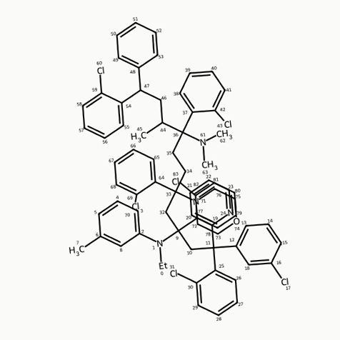 CCN(c1cccc(C)c1)C(CC(c1cc[c]c(Cl)c1)(c1ccccn1)c1ccccc1Cl)(CC(CCC(c1ccccc1Cl)(C(C)CC(c1ccccc1)c1ccccc1Cl)N(C)C)(c1ccccc1Cl)N1CCOCC1)c1ccccc1Cl